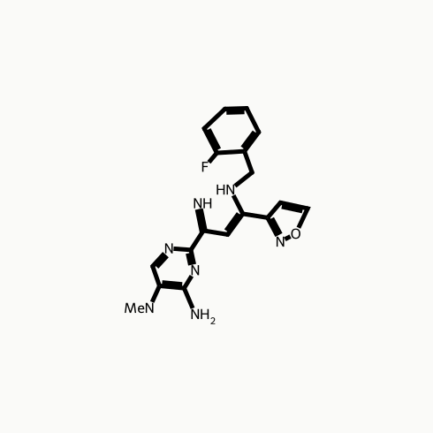 CNc1cnc(C(=N)/C=C(\NCc2ccccc2F)c2ccon2)nc1N